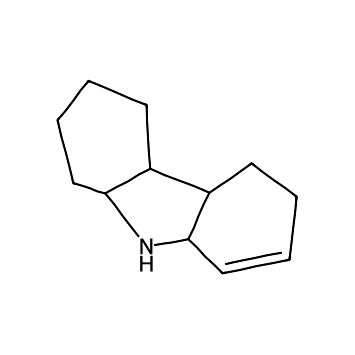 C1=CC2NC3CCCCC3C2CC1